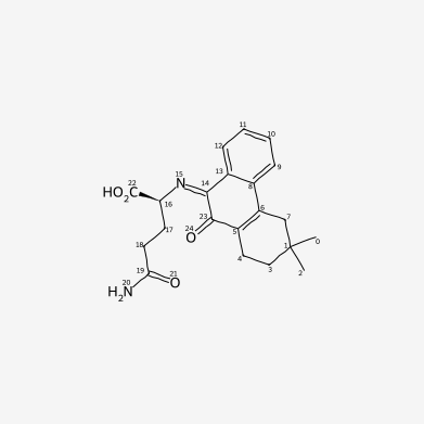 CC1(C)CCC2=C(C1)c1ccccc1/C(=N/[C@@H](CCC(N)=O)C(=O)O)C2=O